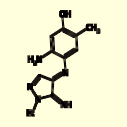 CCN1N=CC(=Nc2cc(C)c(O)cc2N)C1=N